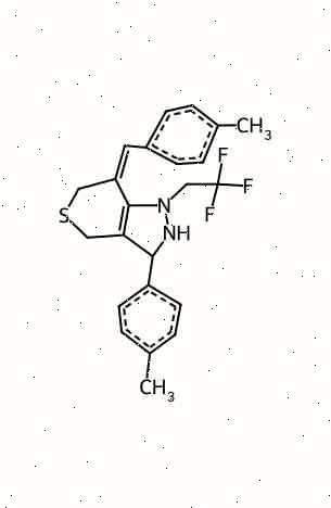 Cc1ccc(/C=C2/CSCC3=C2N(CC(F)(F)F)NC3c2ccc(C)cc2)cc1